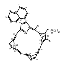 Cc1c(C)c2c(C)c3nc(cc4ccc(cc5nc(cc1n2C)C=C5)[nH]4)C=C3.[MgH2].c1ccc2ncccc2c1